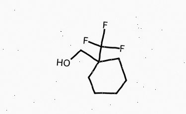 OCC1(C(F)(F)F)CCCCC1